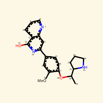 COc1cc(-c2cc3ncccc3c(O)n2)ccc1OC(C)C1CCCN1